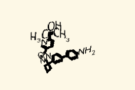 CC(C)(O)c1ccc(-c2nc(C3(c4ccc(-c5ccc(N)cc5)cc4)CCC3)no2)cn1